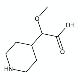 COC(C(=O)O)C1CCNCC1